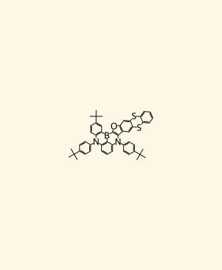 CC(C)(C)c1ccc(N2c3ccc(C(C)(C)C)cc3B3c4oc5cc6c(cc5c4N(c4ccc(C(C)(C)C)cc4)c4cccc2c43)Sc2ccccc2S6)cc1